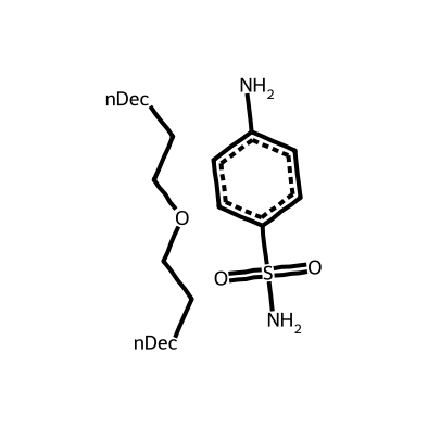 CCCCCCCCCCCCOCCCCCCCCCCCC.Nc1ccc(S(N)(=O)=O)cc1